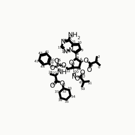 CC(C)C(=O)O[C@H]1[C@H](c2ccc3c(N)ncnn23)O[C@](C#N)(CO[P@@](=O)(NC(C)C(=O)OC2CCCCC2)Oc2ccccc2)[C@H]1OC(=O)C(C)C